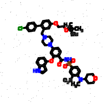 CN(c1ccc(S(=O)(=O)NC(=O)c2ccc(N3CCN(Cc4cc(OCCO[Si](C)(C)C(C)(C)C)ccc4-c4ccc(Cl)cc4)CC3)cc2Oc2cccc3[nH]ccc23)cc1[N+](=O)[O-])C1CCOCC1